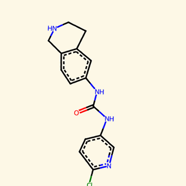 O=C(Nc1ccc(Cl)nc1)Nc1ccc2c(c1)CCNC2